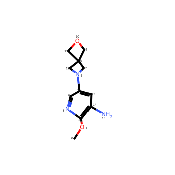 COc1ncc(N2CC3(COC3)C2)cc1N